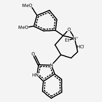 CC[N+]12CCC(n3c(=O)[nH]c4ccccc43)CC1(c1ccc(OC)c(OC)c1)O2.Cl